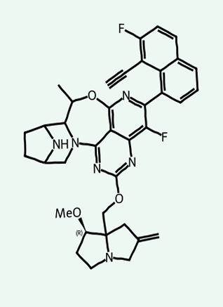 C#Cc1c(F)ccc2cccc(-c3nc4c5c(nc(OCC67CC(=C)CN6CC[C@H]7OC)nc5c3F)N3CC5CCC(N5)C3C(C)O4)c12